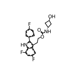 O=C(N[C@H]1C[C@H](O)C1)OCCc1c(-c2ccc(F)cc2)[nH]c2c(F)cc(F)cc12